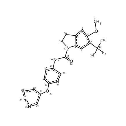 COc1cc2c(cc1C(F)(F)F)N(C(=O)Nc1ccc(Oc3cccnc3)nc1)CC2